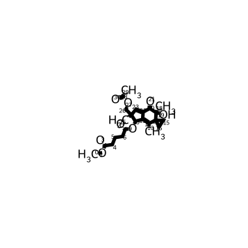 COC(=O)CCCC(=O)OC1C2=C(C)C3(CC3)C(C)(O)C(=O)C2=CC1(C)COC(C)=O